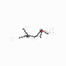 COCCOCCOCCOC(=O)c1nnn(CCCCCCOC(=O)C#CC(=O)OCCCCCCN2N=NC(CCOCCOCCOC)(C(=O)O)C2(CCOCCOCCOC)C(=O)O)c1C(=O)OCCOCCOCCOC